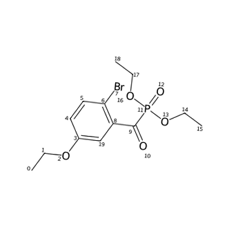 CCOc1ccc(Br)c(C(=O)P(=O)(OCC)OCC)c1